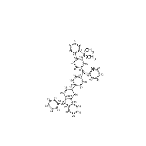 CC1(C)c2ccccc2-c2ccc(N(c3ccc(C4C=Cc5c(c6ccccc6n5-c5ccccc5)C4)cc3)c3ccccn3)cc21